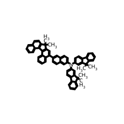 CC1(C)c2ccccc2-c2ccc(N(c3ccc4c(c3)C(C)(C)c3ccccc3-4)c3ccc4cc(-c5cc6c(c7ccccc57)-c5c(ccc7ccccc57)C6(C)C)ccc4c3)cc21